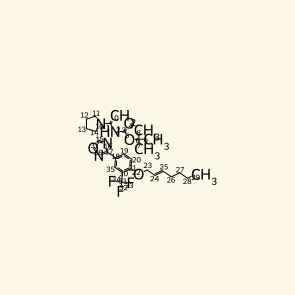 C=C(NC(=O)OC(C)(C)C)N1CCC[C@H]1c1nc(-c2ccc(OCC=CCCCC)c(C(F)(F)F)c2)no1